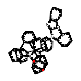 c1ccc([Si](c2ccccc2)(c2ccccc2)c2ccccc2-c2ccccc2-n2c3ccccc3c3cc(-n4c5ccccc5n5c6ccccc6nc45)ccc32)cc1